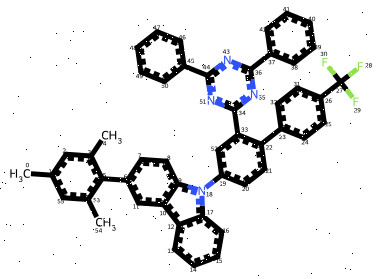 Cc1cc(C)c(-c2ccc3c(c2)c2ccccc2n3-c2ccc(-c3ccc(C(F)(F)F)cc3)c(-c3nc(-c4ccccc4)nc(-c4ccccc4)n3)c2)c(C)c1